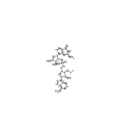 CCOC1C(COP(=O)(O)OC2C(O)C(O)OC2n2cnc3c(=O)[nH]c(N)nc32)OC(n2ccc3c(N)ncnc32)C1O